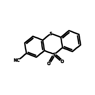 N#Cc1ccc2c(c1)S(=O)(=O)c1ccccc1S2